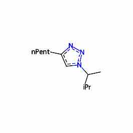 CCCCCc1cn(C(C)C(C)C)nn1